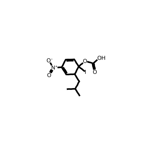 CC(C)CC1C=C([N+](=O)[O-])C=CC1(I)OC(=O)O